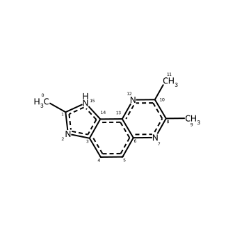 Cc1nc2ccc3nc(C)c(C)nc3c2[nH]1